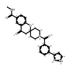 CNC(=O)c1ccc2c(c1)C(=O)CC1(CCN(C(=O)c3cccc(-c4cc[nH]n4)c3)CC1)O2